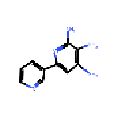 Nc1cc(-c2cccnc2)nc(N)c1N